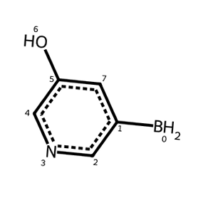 Bc1cncc(O)c1